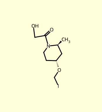 C[C@H]1C[C@H](OCI)CCN1C(=O)CO